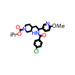 COc1ccc(C(CC2CCN(C(=O)OC(C)C)CC2)NC(=O)c2ccc(Cl)cc2)cn1